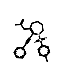 C=C(C)CC1=C(C#Cc2ccccc2)N(S(=O)(=O)c2ccc(C)cc2)CCCC1